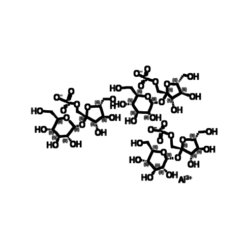 O=S(=O)([O-])OC[C@@]1(O[C@H]2O[C@H](CO)[C@@H](O)[C@H](O)[C@H]2O)O[C@H](CO)[C@@H](O)[C@@H]1O.O=S(=O)([O-])OC[C@@]1(O[C@H]2O[C@H](CO)[C@@H](O)[C@H](O)[C@H]2O)O[C@H](CO)[C@@H](O)[C@@H]1O.O=S(=O)([O-])OC[C@@]1(O[C@H]2O[C@H](CO)[C@@H](O)[C@H](O)[C@H]2O)O[C@H](CO)[C@@H](O)[C@@H]1O.[Al+3]